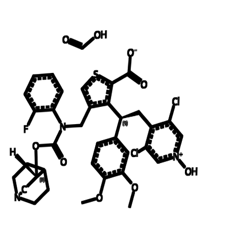 COc1ccc([C@H](Cc2c(Cl)c[n+](O)cc2Cl)c2c(CN(C(=O)O[C@H]3CN4CCC3CC4)c3ccccc3F)csc2C(=O)[O-])cc1OC.O=CO